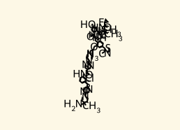 Cc1ncsc1-c1ccc(CNC(=O)[C@@H]2C[C@@H](O)CN2C(=O)[C@@H](NC(=O)C2(F)CC2)C(C)(C)C)c(OCCN2CCN(c3ncc(C(=O)Nc4cccc(Sc5cnc(N6CCC(C)(CN)CC6)cn5)c4Cl)cn3)CC2)c1